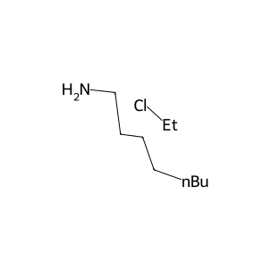 CCCCCCCCN.CCCl